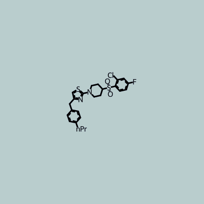 CCCc1ccc(Cc2csc(N3CCC(S(=O)(=O)c4ccc(F)cc4Cl)CC3)n2)cc1